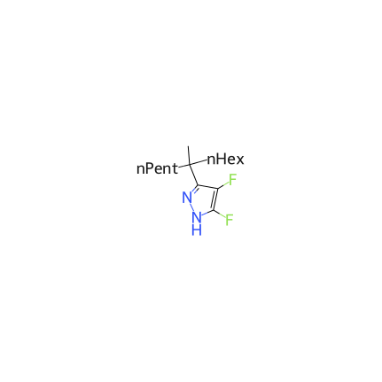 CCCCCCC(C)(CCCCC)c1n[nH]c(F)c1F